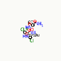 CC(C)(C)C[C@@H]1N[C@H](OC(=O)Nc2ccc(C(N)=O)cc2OC(F)(F)F)[C@H](c2cccc(Cl)c2F)[C@]12C(=O)Nc1cc(Cl)ccc12